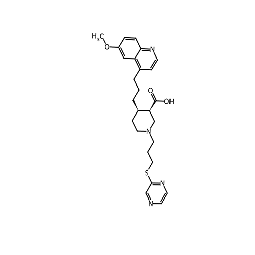 COc1ccc2nccc(CCC[C@@H]3CCN(CCCSc4cnccn4)C[C@@H]3C(=O)O)c2c1